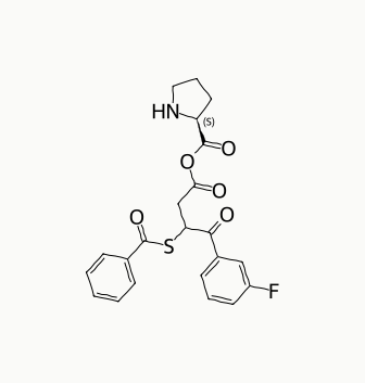 O=C(CC(SC(=O)c1ccccc1)C(=O)c1cccc(F)c1)OC(=O)[C@@H]1CCCN1